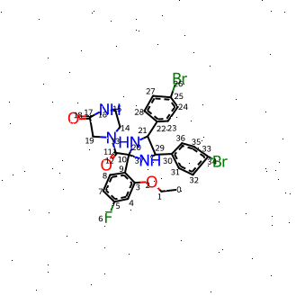 CCOc1cc(F)ccc1C1(C(=O)N2CCNC(=O)C2)NC(c2ccc(Br)cc2)C(c2ccc(Br)cc2)N1